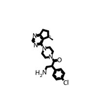 C[C@@H]1CCc2ncnc(N3CCN(C(=O)C(CN)c4ccc(Cl)cc4)CC3)c21